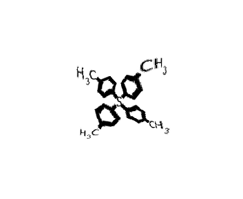 Cc1ccc(S(c2ccc(C)cc2)(c2ccc(C)cc2)c2ccc(C)cc2)cc1